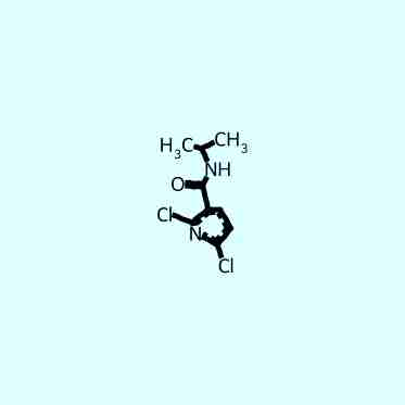 CC(C)NC(=O)c1ccc(Cl)nc1Cl